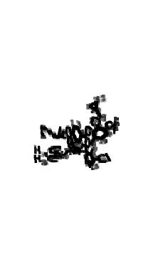 COc1ccc(C(=O)O[C@@H](Cc2c(Cl)cncc2Cl)c2ccc(OC(F)F)c(OCC3CC3)c2)cc1S(=O)(=O)NCCN(C)C